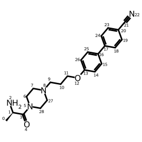 C[C@@H](N)C(=O)N1CCN(CCCOc2ccc(-c3ccc(C#N)cc3)cc2)CC1